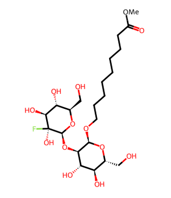 COC(=O)CCCCCCCCO[C@H]1O[C@H](CO)[C@@H](O)[C@H](O)[C@H]1O[C@@H]1O[C@H](CO)[C@@H](O)[C@H](O)[C@]1(O)F